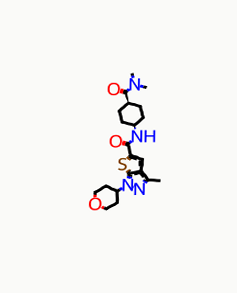 Cc1nn(C2CCOCC2)c2sc(C(=O)N[C@H]3CC[C@H](C(=O)N(C)C)CC3)cc12